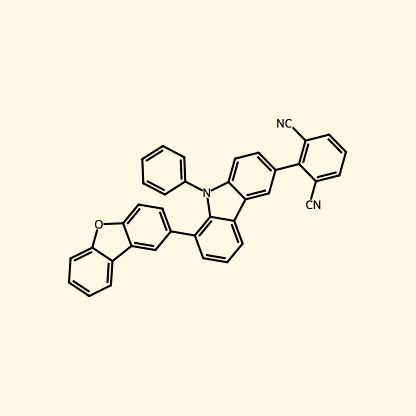 N#Cc1cccc(C#N)c1-c1ccc2c(c1)c1cccc(-c3ccc4oc5ccccc5c4c3)c1n2-c1ccccc1